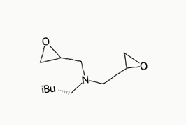 CC[C@@H](C)CN(CC1CO1)CC1CO1